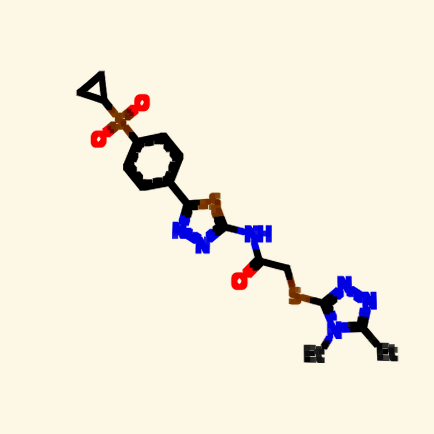 CCc1nnc(SCC(=O)Nc2nnc(-c3ccc(S(=O)(=O)C4CC4)cc3)s2)n1CC